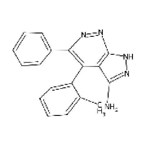 Cc1ccccc1-c1c(-c2ccccc2)nnc2[nH]nc(N)c12